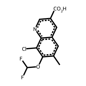 Cc1cc2cc(C(=O)O)cnc2c(Cl)c1OC(F)F